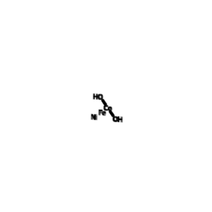 [Fe].[Ni].[OH][Co][OH]